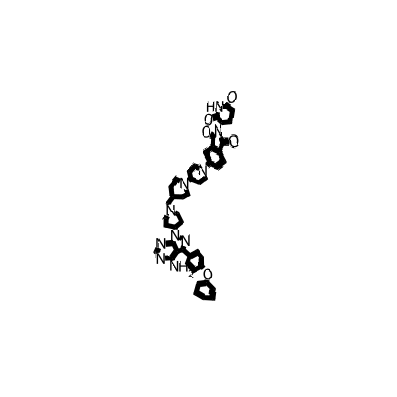 Nc1ncnc2c1c(-c1ccc(Oc3ccccc3)cc1)nn2C1CCN(CC2CCN(C3CCN(c4ccc5c(c4)C(=O)N(C4CCC(=O)NC4=O)C5=O)CC3)CC2)CC1